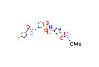 COCCNC(=O)Oc1ccc(C(=O)NS(=O)(=O)c2cccc(CCNC(=O)c3ccc(F)cc3)c2)cn1